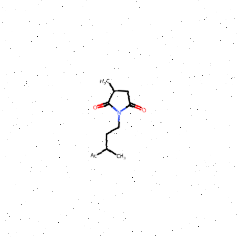 CC(=O)C(C)CCN1C(=O)CC(C)C1=O